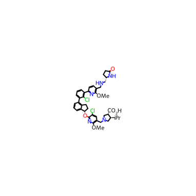 COc1nc(-c2cccc(-c3cccc4c3CC[C@@H]4Oc3nc(OC)c(CN4C[C@H](C(=O)O)[C@@H](C(C)C)C4)cc3Cl)c2Cl)ccc1CNC[C@@H]1CCC(=O)N1